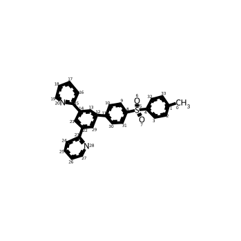 Cc1ccc(S(=O)(=O)c2ccc(-c3cc(-c4ccccn4)cc(-c4ccccn4)c3)cc2)cc1